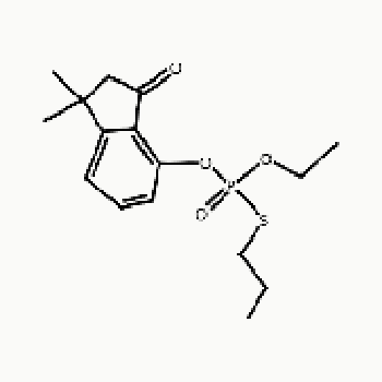 CCCSP(=O)(OCC)Oc1cccc2c1C(=O)CC2(C)C